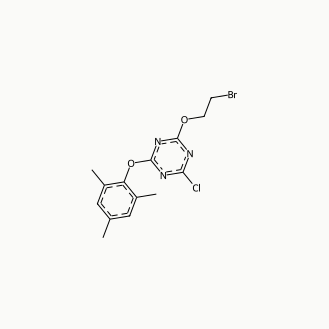 Cc1cc(C)c(Oc2nc(Cl)nc(OCCBr)n2)c(C)c1